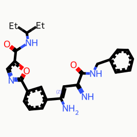 CCC(CC)NC(=O)c1cnc(-c2cccc(/C(N)=C/C(=N)C(=O)NCc3ccccc3)c2)o1